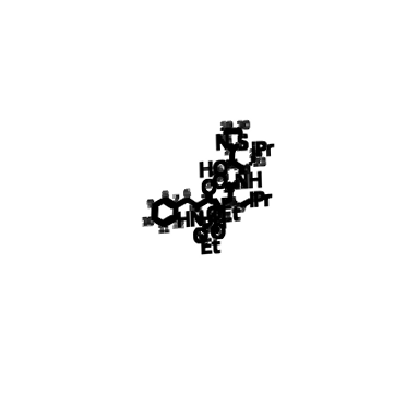 CCOP(=O)(N[C@@H](Cc1ccccc1)C(=O)N[C@@H](CC(C)C)C(=O)N[C@@H](CC(C)C)[C@@H](O)c1nccs1)OCC